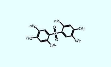 CCCc1cc(S(=O)(=O)c2cc(CCC)c(O)cc2CCC)c(CCC)cc1O